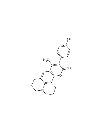 Cc1c(-c2ccc(C#N)cc2)c(=O)oc2c3c4c(cc12)CCCN4CCC3